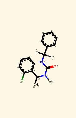 CCCN(C(=O)NC(CC)(CC)c1ccccc1)C(C)c1ccccc1Cl